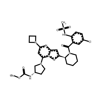 CC(C)(C)OC(=O)N[C@H]1CCN(c2cc(N3CCC3)nc3cc([C@@H]4CCCCN4C(=O)c4cc(Cl)ccc4NS(C)(=O)=O)nn23)C1